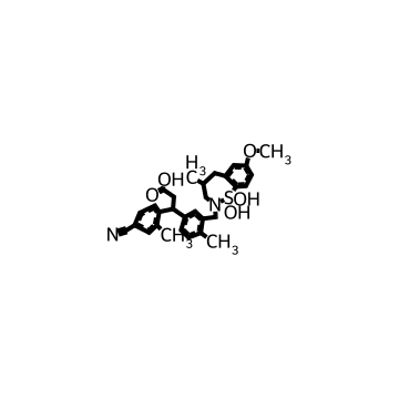 COc1ccc2c(c1)CC(C)CN(Cc1cc(C(CC(=O)O)c3ccc(C#N)cc3C)ccc1C)S2(O)O